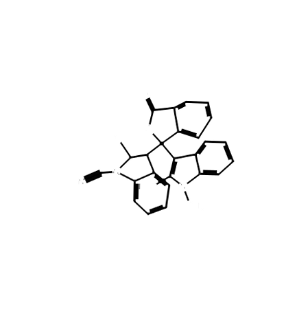 Cc1c(C2(C3c4ccccc4N(C#N)C3C)OC(=O)c3ccccc32)c2ccccc2n1C